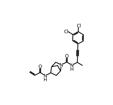 C=CC(=O)NC1CC2CC1CN2C(=O)NC(C)C#Cc1ccc(Cl)c(Cl)c1